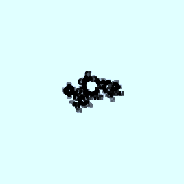 CO[C@]1(C)C[C@@H](C)CN(CCO[Si](C)(C)C(C)(C)C)[C@H](CCCN2CCCC2)COC(=O)C(C)(C)C(=O)[C@H](C)[C@H]1O[C@@H]1O[C@H](C)C[C@H](N(C)C)[C@H]1OC(=O)c1ccccc1